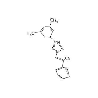 Cc1cc(C)cc(-c2ncn(/C=C(\C#N)c3ccccn3)n2)c1